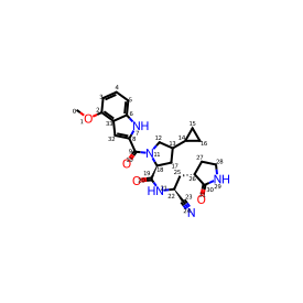 COc1cccc2[nH]c(C(=O)N3CC(C4CC4)C[C@H]3C(=O)N[C@H](C#N)C[C@@H]3CCNC3=O)cc12